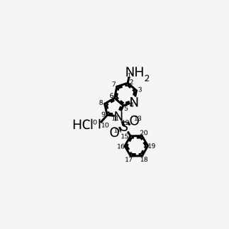 Cl.Nc1cnc2c(c1)cc(I)n2S(=O)(=O)c1ccccc1